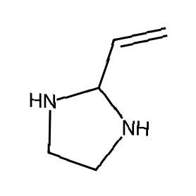 C=CC1NCCN1